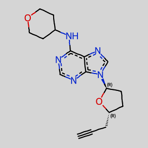 C#CC[C@H]1CC[C@H](n2cnc3c(NC4CCOCC4)ncnc32)O1